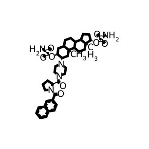 C[C@]12C[C@H](N3CCN(C(=O)[C@@H]4CCCN4C(=O)c4ccc5ccccc5c4)CC3)[C@@H](OS(N)(=O)=O)CC1CCC1C2CC[C@@]2(C)C1CC[C@@H]2OS(N)(=O)=O